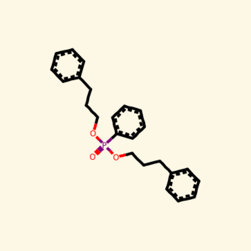 O=P(OCCCc1ccccc1)(OCCCc1ccccc1)c1ccccc1